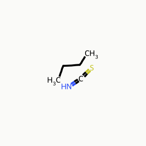 CCCC.N=C=S